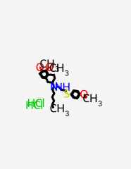 CCCCCCN(NCCSc1ccc(OC)cc1)C1CCc2c(ccc(OC)c2OC)C1.Cl.Cl